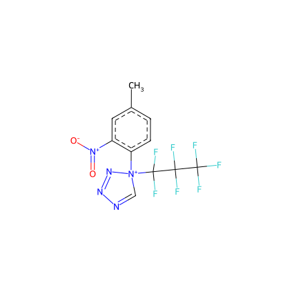 Cc1ccc([N+]2(C(F)(F)C(F)(F)C(F)(F)F)C=NN=N2)c([N+](=O)[O-])c1